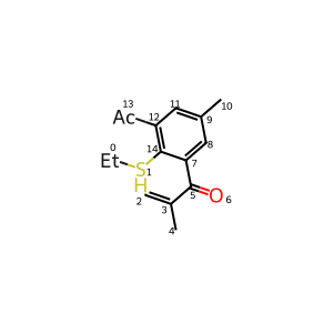 CC[SH]1C=C(C)C(=O)c2cc(C)cc(C(C)=O)c21